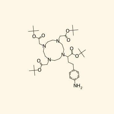 CC(C)(C)OC(=O)CN1CCN(CC(=O)OC(C)(C)C)CCN(C(CCc2ccc(N)cc2)C(=O)OC(C)(C)C)CCN(CC(=O)OC(C)(C)C)CC1